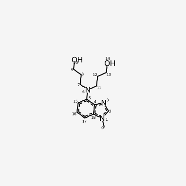 Cn1cnc2c(N(CCCO)CCCO)cccc21